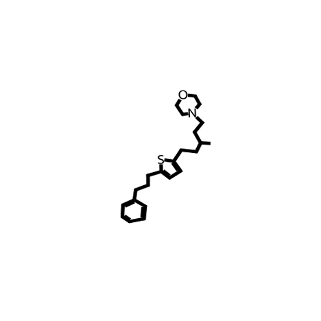 CC(CCc1ccc(CCCc2ccccc2)s1)CCN1CCOCC1